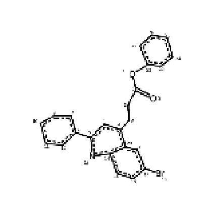 O=C(CCc1cc(-c2ccccc2)nc2ccc(Br)cc12)Oc1ccccc1